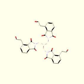 O=CCc1cccc2c1C(=O)N(OB(ON1C(=O)c3cccc(CC=O)c3C1=O)ON1C(=O)c3cccc(CC=O)c3C1=O)C2=O